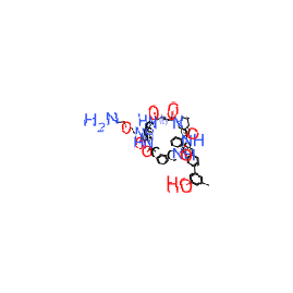 Cc1cc(O)cc(-c2ccc(C[C@@H]3NC(=O)[C@]4(Cc5ccccc5)CCCN(C4)C(=O)/C=C/C(=O)NCC[C@@H](C(=O)NCCOCCN)NC(=O)Cc4ccccc4CNC3=O)cc2)c1